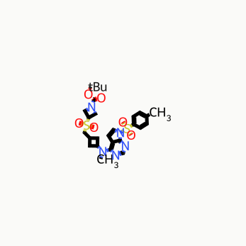 Cc1ccc(S(=O)(=O)n2ccc3c(N(C)C4CC(CS(=O)(=O)C5CN(C(=O)OC(C)(C)C)C5)C4)ncnc32)cc1